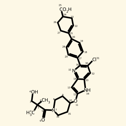 CC(C)(CO)C(=O)N1CCC(Oc2cc3nc(-c4ccc(C5=CCC(C(=O)O)CC5)cc4)c(Cl)cc3[nH]2)CC1